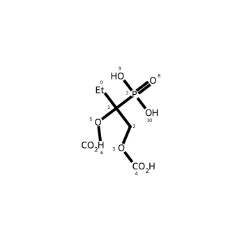 CCC(COC(=O)O)(OC(=O)O)P(=O)(O)O